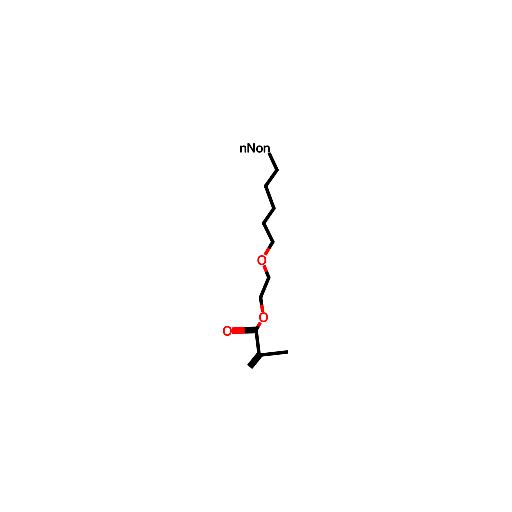 C=C(C)C(=O)OCCOCCCCCCCCCCCCCC